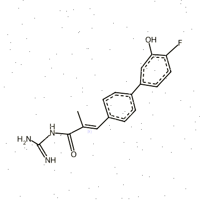 C/C(=C\c1ccc(-c2ccc(F)c(O)c2)cc1)C(=O)NC(=N)N